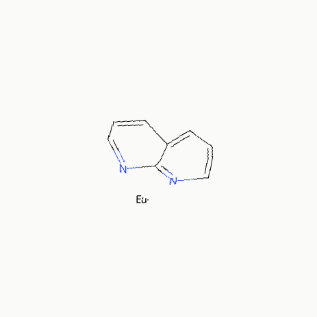 [Eu].c1cnc2ncccc2c1